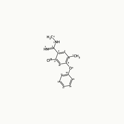 CNC(=N)c1cc(C)c(Oc2ccccc2)cc1Cl